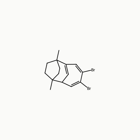 CC12CCC(C)(CC1)C1C=C(Br)C(Br)=CC2=C1